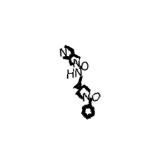 O=C(NCC1CC12CCN(C(=O)c1ccccc1)CC2)N1Cc2ccncc2C1